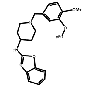 CCCCOc1cc(CN2CCC(Nc3nc4ccccc4o3)CC2)ccc1OC